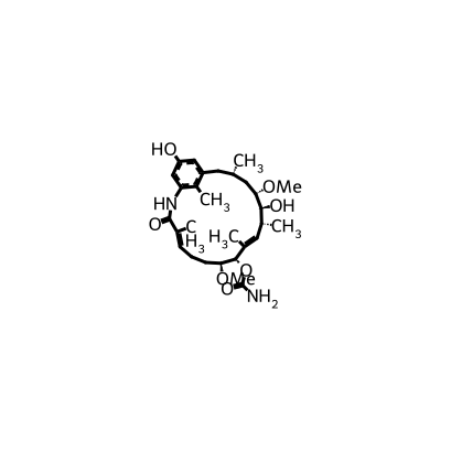 CO[C@H]1C[C@@H](C)Cc2cc(O)cc(c2C)NC(=O)/C(C)=C/CC[C@H](OC)[C@@H](OC(N)=O)/C(C)=C/[C@@H](C)[C@@H]1O